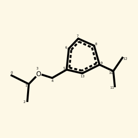 CC(C)OCc1cccc(C(C)C)c1